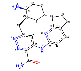 NC(=O)c1nnc(C[C@@H]2CCCC[C@@H]2N)cc1Nc1ccc2c(n1)CCC2